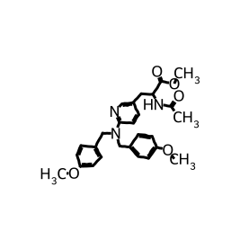 COC(=O)C(Cc1ccc(N(Cc2ccc(OC)cc2)Cc2ccc(OC)cc2)nc1)NC(C)=O